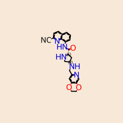 N#Cc1ccc2cccc(NC(=O)[C@@H]3C[C@@H](NCc4cc5c(cn4)OCCO5)CN3)c2n1